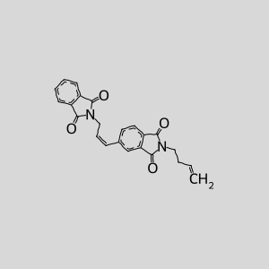 C=CCCN1C(=O)c2ccc(/C=C\CN3C(=O)c4ccccc4C3=O)cc2C1=O